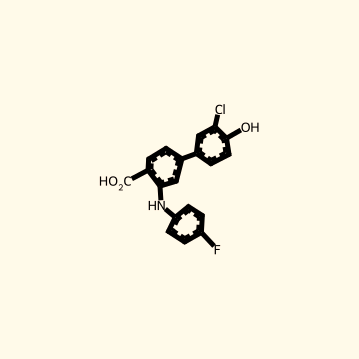 O=C(O)c1ccc(-c2ccc(O)c(Cl)c2)cc1Nc1ccc(F)cc1